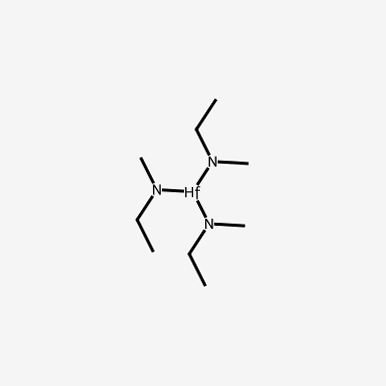 CC[N](C)[Hf]([N](C)CC)[N](C)CC